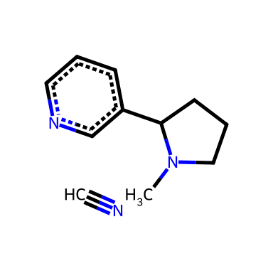 C#N.CN1CCCC1c1cccnc1